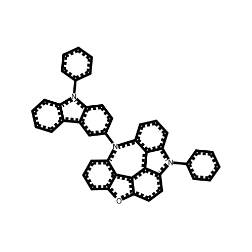 c1ccc(-n2c3ccccc3c3cc(-n4c5cccc6oc7ccc8c(c7c65)c5c4cccc5n8-c4ccccc4)ccc32)cc1